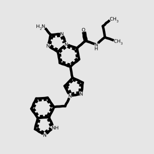 CCC(C)NC(=O)c1cc(-c2cnn(Cc3cccc4cn[nH]c34)c2)cc2nc(N)nn12